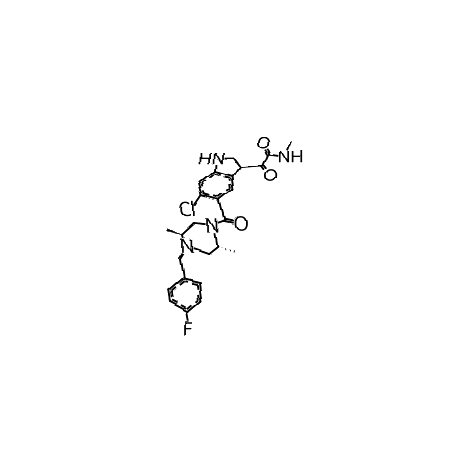 CNC(=O)C(=O)C1CNc2cc(Cl)c(C(=O)N3C[C@H](C)N(Cc4ccc(F)cc4)C[C@H]3C)cc21